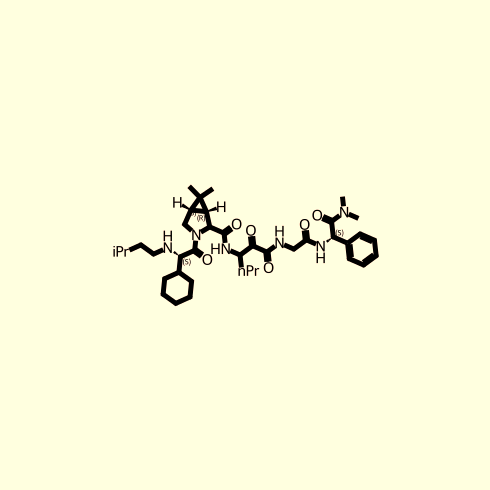 CCCC(NC(=O)C1[C@@H]2[C@H](CN1C(=O)[C@@H](NCCC(C)C)C1CCCCC1)C2(C)C)C(=O)C(=O)NCC(=O)N[C@H](C(=O)N(C)C)c1ccccc1